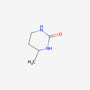 CC1CCNC(=O)N1